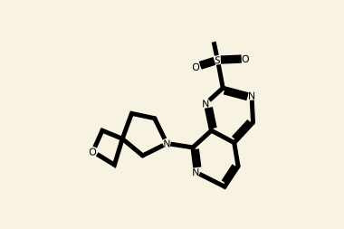 CS(=O)(=O)c1ncc2ccnc(N3CCC4(COC4)C3)c2n1